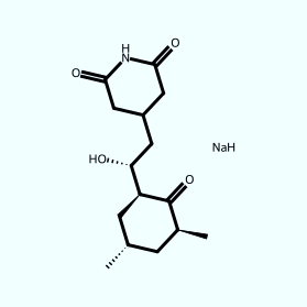 C[C@@H]1C[C@@H]([C@H](O)CC2CC(=O)NC(=O)C2)C(=O)[C@@H](C)C1.[NaH]